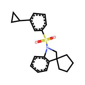 O=S(=O)(c1cccc(C2CC2)c1)N1CC2(CCCC2)c2ccccc21